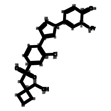 CCCn1cc(-n2cc(-c3ccc(S(=O)(=O)CC4(CO)CCC4)cc3Cl)cn2)ccc1=O